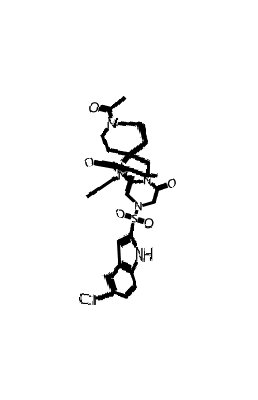 CC(=O)N1CCC2(CC1)CN1C(=O)CN(S(=O)(=O)c3cc4cc(Cl)ccc4[nH]3)CC13CN(C)C(=O)N23